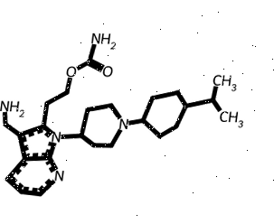 CC(C)C1CCC(N2CCC(n3c(CCOC(N)=O)c(CN)c4cccnc43)CC2)CC1